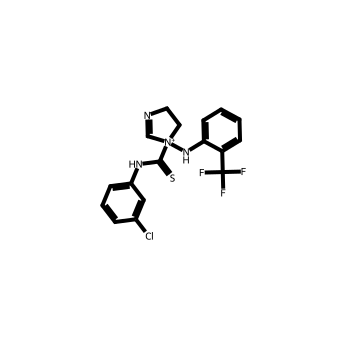 FC(F)(F)c1ccccc1N[N+]1(C(=S)Nc2cccc(Cl)c2)C=NCC1